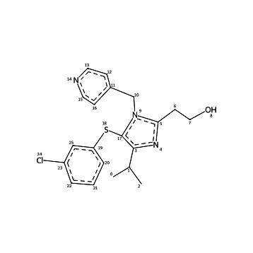 CC(C)c1nc(CCO)n(Cc2ccncc2)c1Sc1cccc(Cl)c1